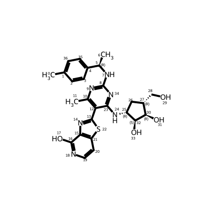 Cc1ccc([C@@H](C)Nc2nc(C)c(-c3nc4c(O)nccc4s3)c(N[C@@H]3C[C@H](CO)[C@@H](O)[C@H]3O)n2)cc1